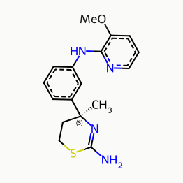 COc1cccnc1Nc1cccc([C@]2(C)CCSC(N)=N2)c1